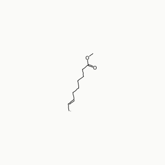 [CH2]/C=C/CCCCCC(=O)OC